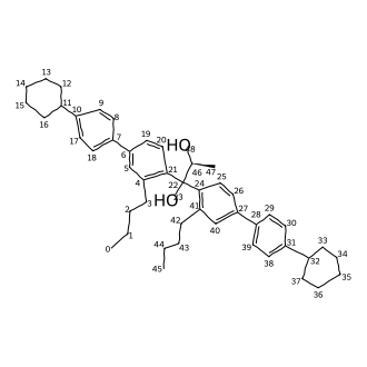 CCCCc1cc(-c2ccc(C3CCCCC3)cc2)ccc1C(O)(c1ccc(-c2ccc(C3CCCCC3)cc2)cc1CCCC)[C@H](C)O